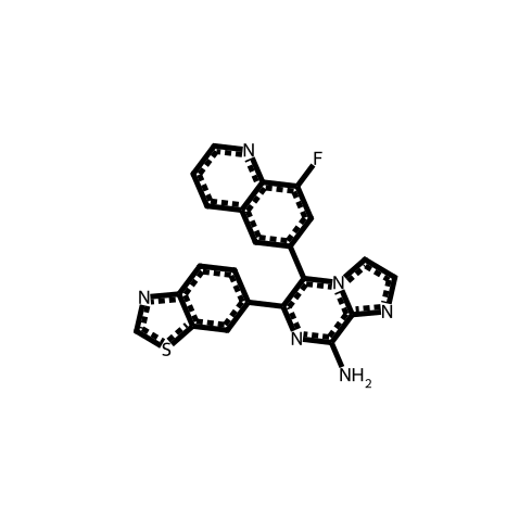 Nc1nc(-c2ccc3ncsc3c2)c(-c2cc(F)c3ncccc3c2)n2ccnc12